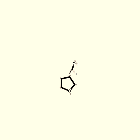 C1CCOC1.CO